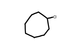 ClC1CC[CH]CCCC1